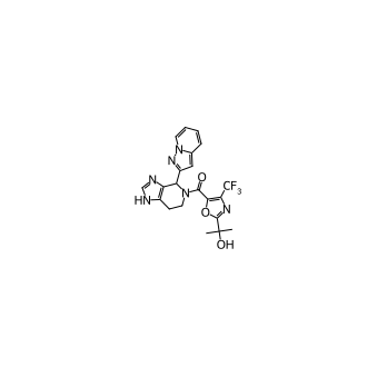 CC(C)(O)c1nc(C(F)(F)F)c(C(=O)N2CCc3[nH]cnc3C2c2cc3ccccn3n2)o1